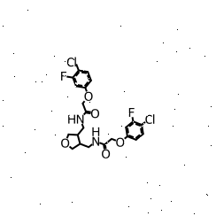 O=C(COc1ccc(Cl)c(F)c1)NCC1COCC1CNC(=O)COc1ccc(Cl)c(F)c1